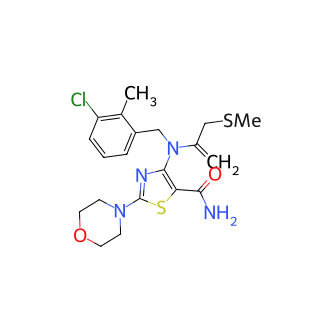 C=C(CSC)N(Cc1cccc(Cl)c1C)c1nc(N2CCOCC2)sc1C(N)=O